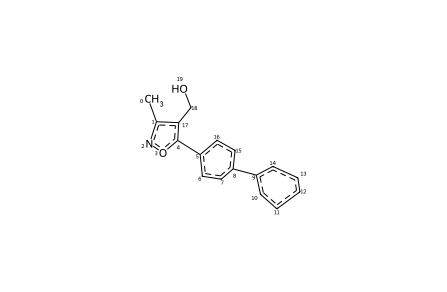 Cc1noc(-c2ccc(-c3ccccc3)cc2)c1CO